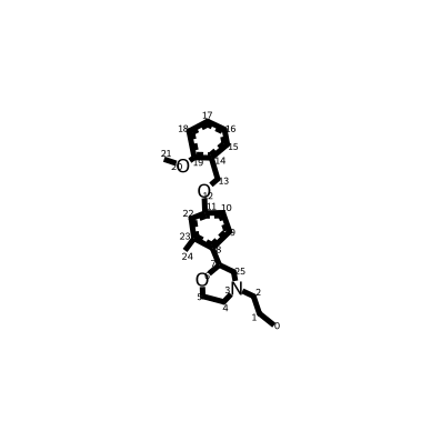 CCCN1CCOC(c2ccc(OCc3ccccc3OC)cc2C)C1